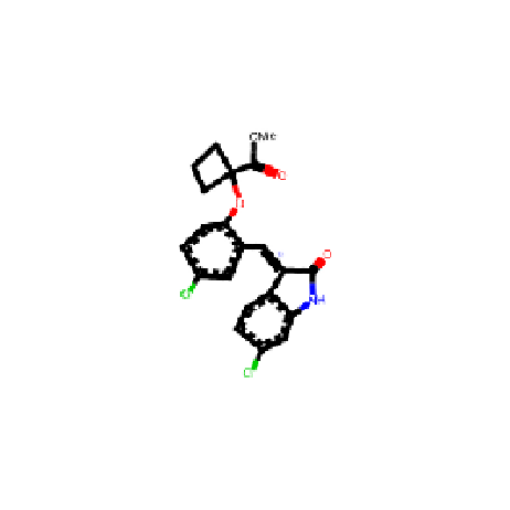 COC(=O)C1(Oc2ccc(Cl)cc2/C=C2/C(=O)Nc3cc(Cl)ccc32)CCC1